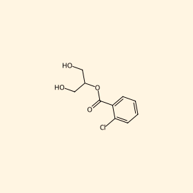 O=C(OC(CO)CO)c1ccccc1Cl